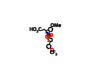 COc1ccc2c(c1)c(CCC(=O)O)cn2S(=O)(=O)c1ccc(-c2cccc(OC(F)(F)F)c2)s1